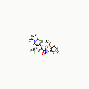 CC[S+]([O-])c1ccc(Cl)cc1CNC(=O)c1cc(Cl)c(CN2CCCCC2=O)c(C(F)(F)F)c1